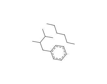 CC(C)C(C)Cc1cc[c]cc1.CCCCCC